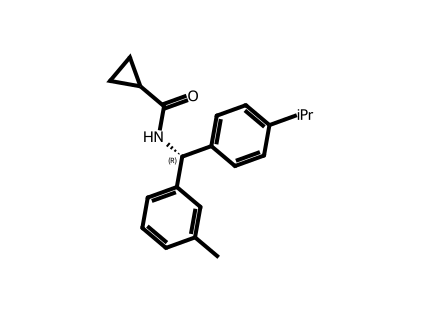 Cc1cccc([C@H](NC(=O)C2CC2)c2ccc(C(C)C)cc2)c1